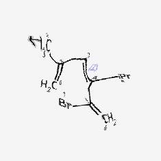 C=C(C)/C=C(\C(=C)Br)C(C)C